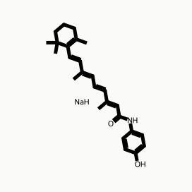 CC1=C(/C=C/C(C)=C/C=C/C(C)=C/C(=O)Nc2ccc(O)cc2)C(C)(C)CCC1.[NaH]